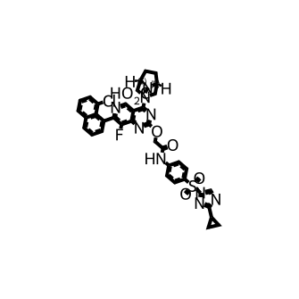 O=C(COc1nc(N2C[C@H]3CC[C@@H](C2)N3C(=O)O)c2cnc(-c3cccc4cccc(Cl)c34)c(F)c2n1)Nc1ccc(S(=O)(=O)n2cnc(C3CC3)n2)cc1